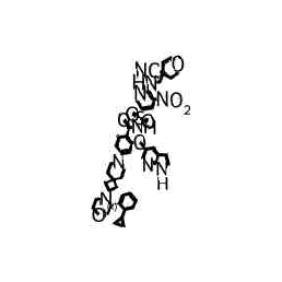 N#CC1(CNc2ncc(S(=O)(=O)NC(=O)c3ccc(N4CCC5(CC4)CC(N4CCOC[C@H]4c4ccccc4C4CC4)C5)cc3Oc3cnc4[nH]ccc4c3)cc2[N+](=O)[O-])CCOCC1